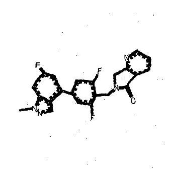 Cn1ncc2c(-c3cc(F)c(CN4Cc5ncccc5C4=O)c(F)c3)cc(F)cc21